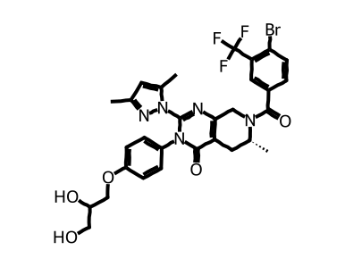 Cc1cc(C)n(-c2nc3c(c(=O)n2-c2ccc(OCC(O)CO)cc2)C[C@@H](C)N(C(=O)c2ccc(Br)c(C(F)(F)F)c2)C3)n1